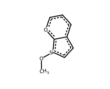 CO[si]1ccc2cccoc1-2